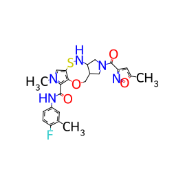 Cc1cc(C(=O)N2CC3COc4c(cn(C)c4C(=O)Nc4ccc(F)c(C)c4)SNC3C2)no1